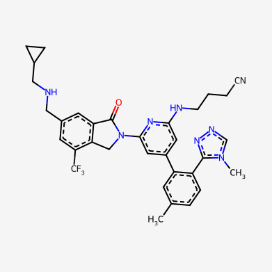 Cc1ccc(-c2nncn2C)c(-c2cc(NCCCC#N)nc(N3Cc4c(cc(CNCC5CC5)cc4C(F)(F)F)C3=O)c2)c1